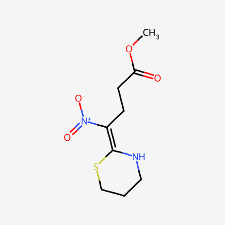 COC(=O)CCC(=C1NCCCS1)[N+](=O)[O-]